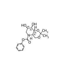 CC1(C)OC[C@@H]2[C@@H](O1)[C@H](O)[C@H](O)CN2C(=O)Oc1ccccc1